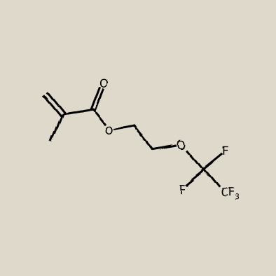 C=C(C)C(=O)OCCOC(F)(F)C(F)(F)F